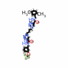 Cc1ccc(C)c(CNC(=O)c2cn(CCCCn3cc(C(=O)NCc4cccc(OC(F)(F)F)c4)nn3)nn2)c1